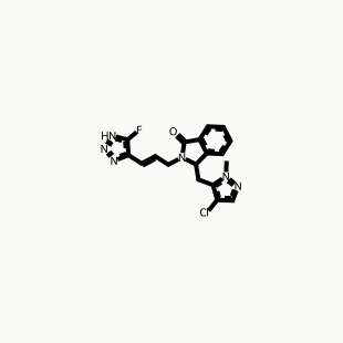 Cn1ncc(Cl)c1CC1c2ccccc2C(=O)N1C/C=C/c1nn[nH]c1F